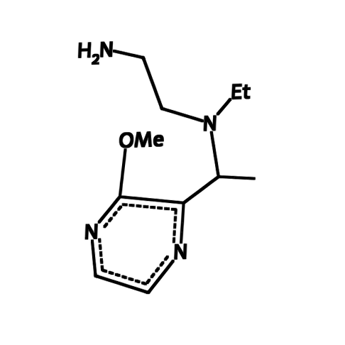 CCN(CCN)C(C)c1nccnc1OC